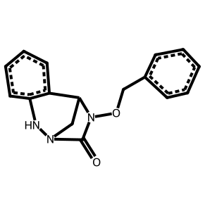 O=C1N2CC(c3ccccc3N2)N1OCc1ccccc1